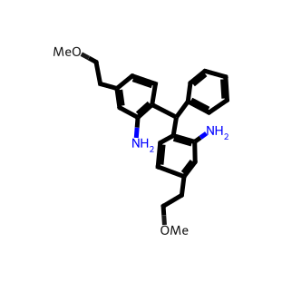 COCCc1ccc(C(c2ccccc2)c2ccc(CCOC)cc2N)c(N)c1